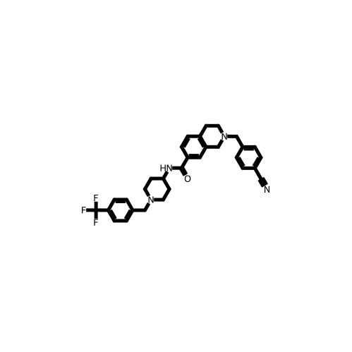 N#Cc1ccc(CN2CCc3ccc(C(=O)NC4CCN(Cc5ccc(C(F)(F)F)cc5)CC4)cc3C2)cc1